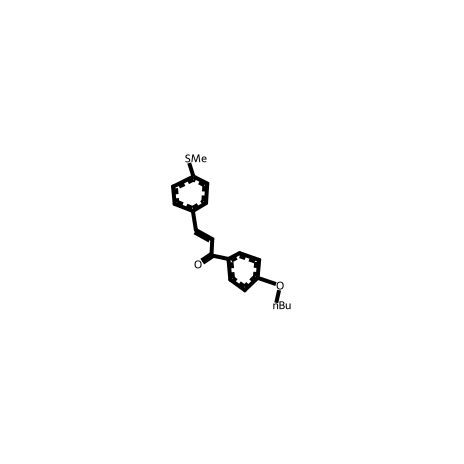 CCCCOc1ccc(C(=O)C=Cc2ccc(SC)cc2)cc1